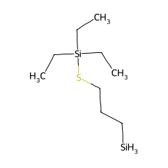 CC[Si](CC)(CC)SCCC[SiH3]